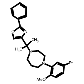 CCc1ccc(OC)c(N2CCCN(C(C)(C)c3csc(-c4ccccc4)n3)CC2)c1